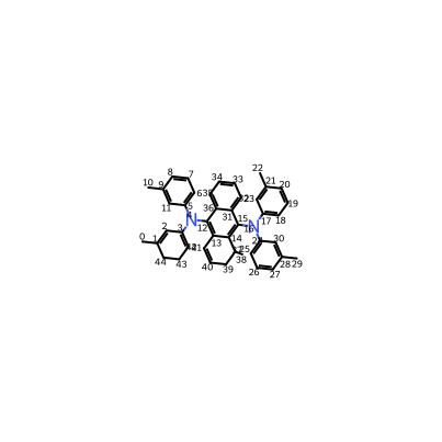 CC1=CC(N(c2cccc(C)c2)c2c3c(c(N(c4cccc(C)c4)c4cccc(C)c4)c4ccccc24)C(C)CC=C3)=CCC1